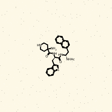 CC(=O)N[C@@H](Cc1ccc2ccccc2c1)NC(=O)[C@@H](Cc1csc2ccccc12)NC(=O)C1(N)CCNCC1